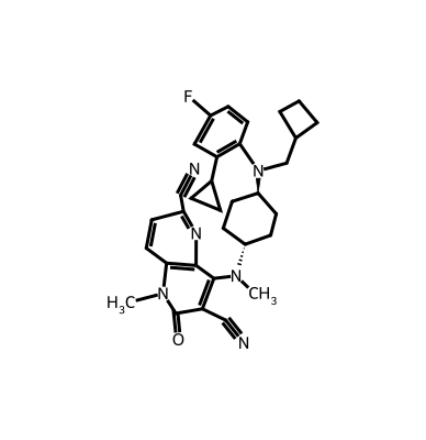 Cn1c(=O)c(C#N)c(N(C)[C@H]2CC[C@H](N(CC3CCC3)c3ccc(F)cc3C3CC3)CC2)c2nc(C#N)ccc21